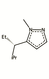 CC[C@H](c1ccnn1C)C(C)C